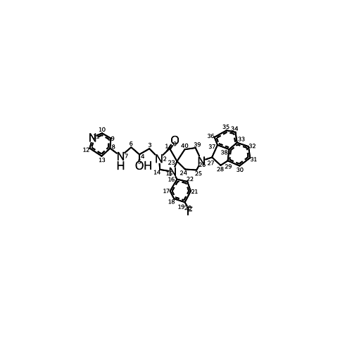 O=C1N(CC(O)CNc2ccncc2)CN(c2ccc(F)cc2)C12CCN(C1Cc3cccc4cccc1c34)CC2